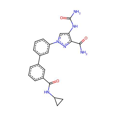 NC(=O)Nc1cn(-c2cccc(-c3cccc(C(=O)NC4CC4)c3)c2)nc1C(N)=O